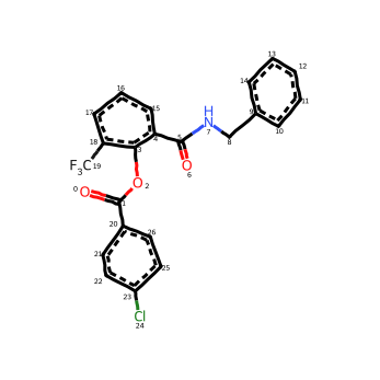 O=C(Oc1c(C(=O)NCc2ccccc2)cccc1C(F)(F)F)c1ccc(Cl)cc1